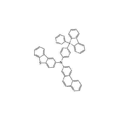 c1ccc(C2(c3ccc(N(c4ccc5c(ccc6ccccc65)c4)c4ccc5sc6ccccc6c5c4)cc3)c3ccccc3-c3ccccc32)cc1